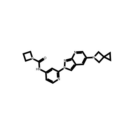 O=C(Nc1ccnc(-n2cc3cc(N4CC5(CC5)C4)cnc3n2)c1)N1CCC1